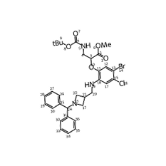 COC(=O)C(CNC(=O)OC(C)(C)C)Oc1cc(Br)c(Cl)cc1NCC1CN(C(c2ccccc2)c2ccccc2)C1